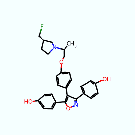 C[C@@H](COc1ccc(-c2c(-c3ccc(O)cc3)noc2-c2ccc(O)cc2)cc1)N1CC[C@@H](CF)C1